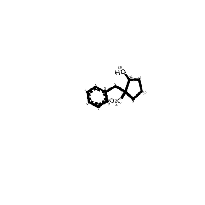 O=C(O)C1(Cc2ccccc2)CCCC1O